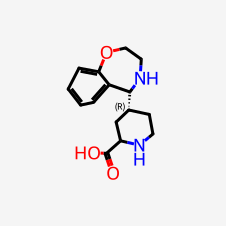 O=C(O)C1C[C@H](C2NCCOc3ccccc32)CCN1